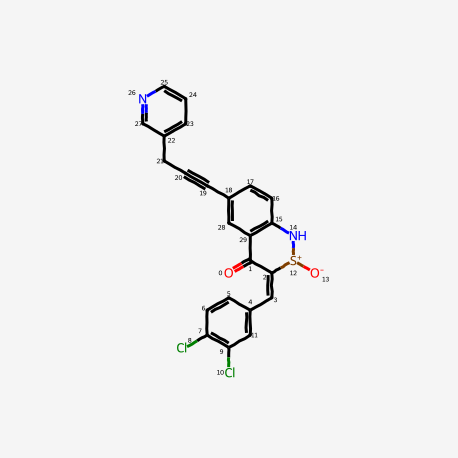 O=C1/C(=C\c2ccc(Cl)c(Cl)c2)[S+]([O-])Nc2ccc(C#CCc3cccnc3)cc21